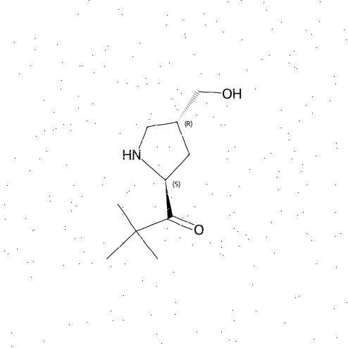 CC(C)(C)C(=O)[C@@H]1C[C@@H](CO)CN1